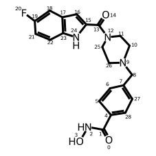 O=C(NO)c1ccc(CN2CCN(C(=O)c3cc4cc(F)ccc4[nH]3)CC2)cc1